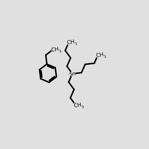 CCC[CH2][Sn]([CH2]CCC)[CH2]CCC.CCc1ccccc1